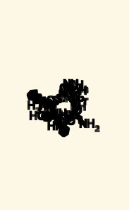 CC(C)[C@@H]1NC(=O)[C@H](CCCCN)NC(=O)[C@@H](Cc2c[nH]c3ccccc23)NC(=O)[C@H](Cc2ccc(O)cc2)NC(=O)[C@H](NC(=O)[C@H](N)Cc2ccc3ccccc3c2)CSSC[C@H](C(=O)N[C@H](C(N)=O)[C@@H](C)O)NC1=O